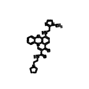 Cn1ccnc1CNc1ccc2c(=O)c(C(=O)NCCN3CCCC3)cn3c2c1Oc1ccccc1-3